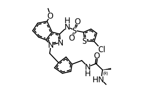 CN[C@H](C)C(=O)NCc1cccc(Cn2nc(NS(=O)(=O)c3ccc(Cl)s3)c3c(OC)cccc32)c1